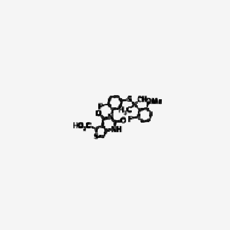 COc1cccc(F)c1C(C)(C)Sc1ccc(F)c(-n2c(=O)[nH]c3csc(C(=O)O)c3c2=O)c1